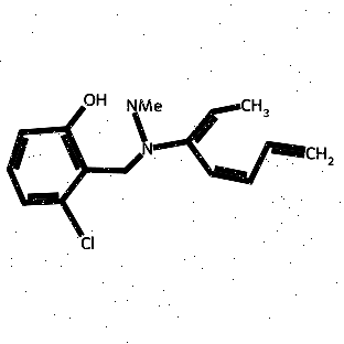 C=C/C=C\C(=C/C)N(Cc1c(O)cccc1Cl)NC